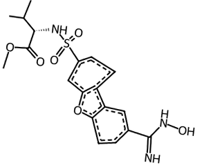 COC(=O)[C@@H](NS(=O)(=O)c1ccc2c(c1)oc1ccc(C(=N)NO)cc12)C(C)C